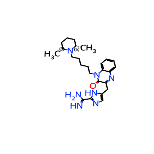 C[C@@H]1CCC[C@H](C)N1CCCCCn1c(=O)c(Cc2cnc(C(=N)N)[nH]2)nc2ccccc21